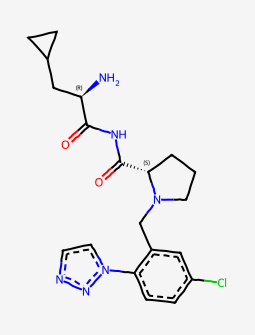 N[C@H](CC1CC1)C(=O)NC(=O)[C@@H]1CCCN1Cc1cc(Cl)ccc1-n1ccnn1